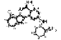 NC(=O)c1ncc(N[C@@H]2CSCC[C@@H]2N)nc1-c1cc2c(Cl)cccc2[nH]1